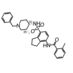 Cc1ccccc1C(=O)Nc1ccc(S(=O)(=O)N[C@H]2CCN(Cc3ccccc3)C[C@H]2C)c2c1CCC2